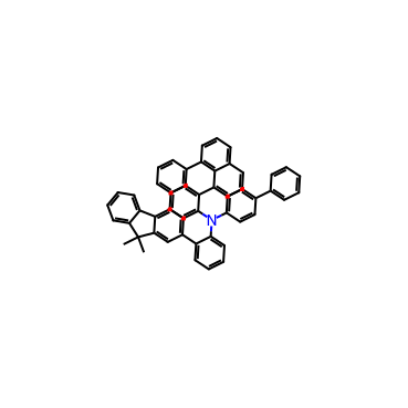 CC1(C)c2ccccc2-c2ccc(-c3ccccc3N(c3ccc(-c4ccccc4)cc3)c3ccccc3-c3cccc4cccc(-c5ccccc5)c34)cc21